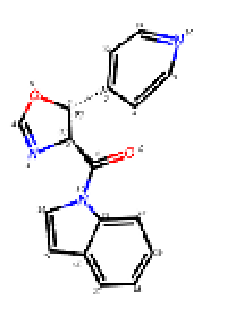 O=C([C@H]1N=CO[C@@H]1c1ccncc1)n1ccc2ccccc21